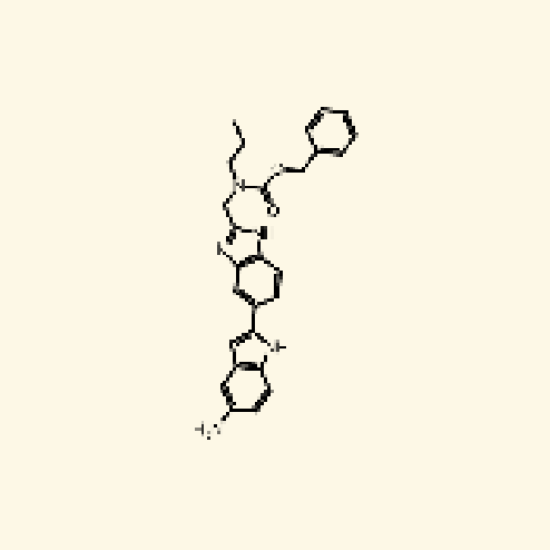 CCCN(Cc1nc2cc(-c3cc4cc(N)ccc4[nH]3)ccc2[nH]1)C(=O)OCc1ccccc1